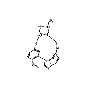 Cc1ccc2cc1-c1cnn3ccc(nc13)NCCN1C[C@H](C)NC[C@H]1CO2